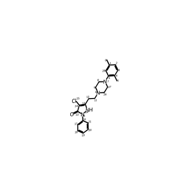 Cc1ccc(C)c(N2CCN(CCc3[nH]n(-c4ccccc4)c(=O)c3Cl)CC2)c1